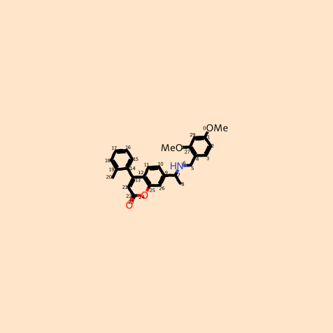 COc1ccc(CNC(C)c2ccc3c(-c4ccccc4C)cc(=O)oc3c2)c(OC)c1